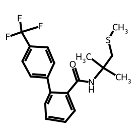 CSCC(C)(C)NC(=O)c1ccccc1-c1ccc(C(F)(F)F)cc1